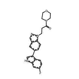 O=C(CCn1ncc2cc(-c3c[nH]c4cc(F)ccc34)ccc21)N1CCOCC1